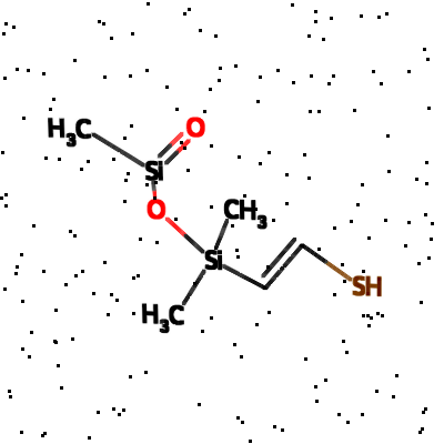 C[Si](=O)O[Si](C)(C)C=CS